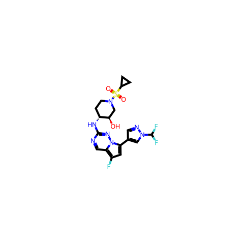 O=S(=O)(C1CC1)N1CC[C@@H](Nc2ncc3c(F)cc(-c4cnn(C(F)F)c4)n3n2)[C@H](O)C1